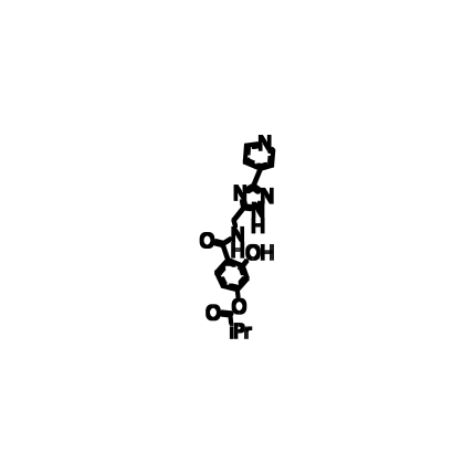 CC(C)C(=O)Oc1ccc(C(=O)NCc2nc(-c3ccncc3)n[nH]2)c(O)c1